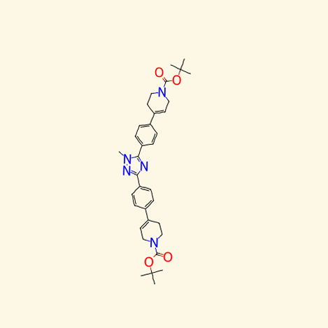 Cn1nc(-c2ccc(C3=CCN(C(=O)OC(C)(C)C)CC3)cc2)nc1-c1ccc(C2=CCN(C(=O)OC(C)(C)C)CC2)cc1